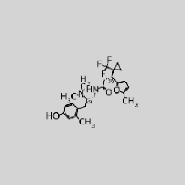 Cc1ccc([C@H](CC(=O)NC[C@H](Cc2ccc(O)cc2C)N(C)C)C2(C(F)(F)F)CC2)o1